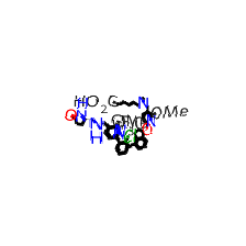 COc1nc(-c2cccc(-c3cccc4c3CC[C@@H]4Oc3nc(OC)c(CN(C)CCCCCC(=O)O)cc3C(F)(F)F)c2Cl)ccc1CNC[C@@H]1CCC(=O)N1